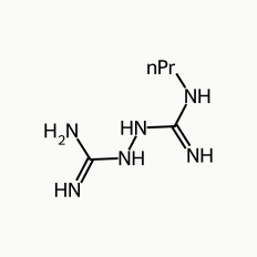 CCCNC(=N)NNC(=N)N